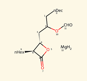 CCCCCCCCCCCC(C[C@@H]1OC(=O)[C@H]1CCCCCC)OC=O.[MgH2]